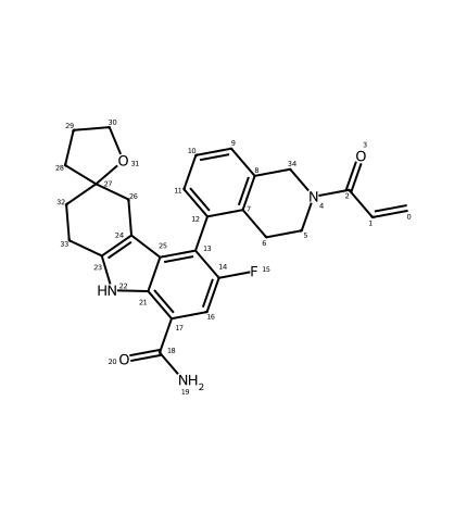 C=CC(=O)N1CCc2c(cccc2-c2c(F)cc(C(N)=O)c3[nH]c4c(c23)CC2(CCCO2)CC4)C1